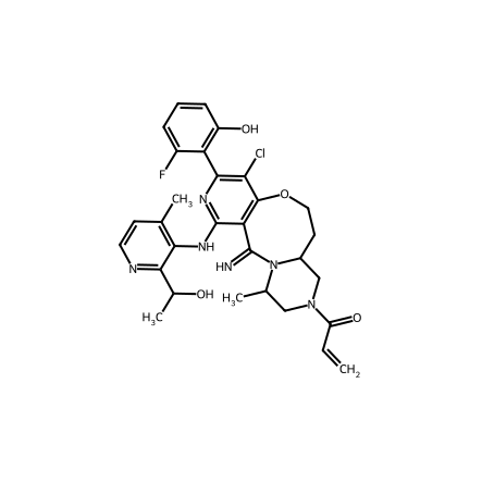 C=CC(=O)N1CC(C)N2C(=N)c3c(Nc4c(C)ccnc4C(C)O)nc(-c4c(O)cccc4F)c(Cl)c3OCCC2C1